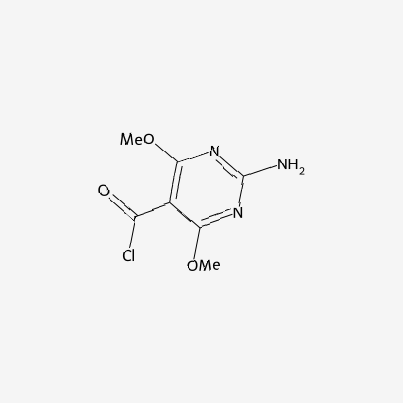 COc1nc(N)nc(OC)c1C(=O)Cl